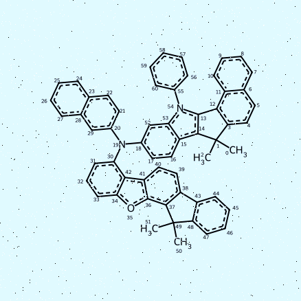 CC1(C)c2ccc3ccccc3c2-c2c1c1ccc(N(c3ccc4ccccc4c3)c3cccc4oc5c6c(ccc5c34)-c3ccccc3C6(C)C)cc1n2-c1ccccc1